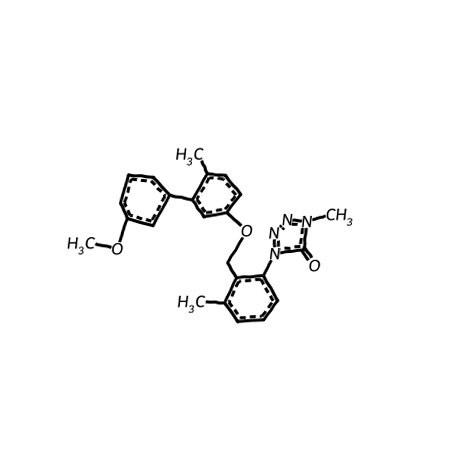 COc1cccc(-c2cc(OCc3c(C)cccc3-n3nnn(C)c3=O)ccc2C)c1